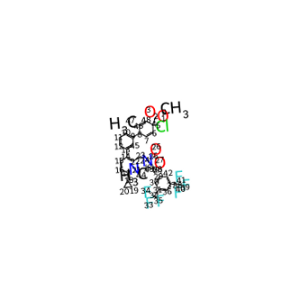 COC(=O)C1(Cl)C=CC(c2cccc(-c3ccc(C4CC4)nc3CN3C(=O)O[C@H](c4cc(C(F)(F)F)cc(C(F)(F)F)c4)[C@@H]3C)c2)C(C)=C1